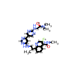 CNC(=O)c1c(F)cnc2c(C(C)CNc3cc(-c4cnc(NCC(=O)N(C)C)nc4)ncn3)cccc12